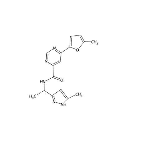 Cc1cc(C(C)NC(=O)c2cc(-c3ccc(C)o3)ncn2)n[nH]1